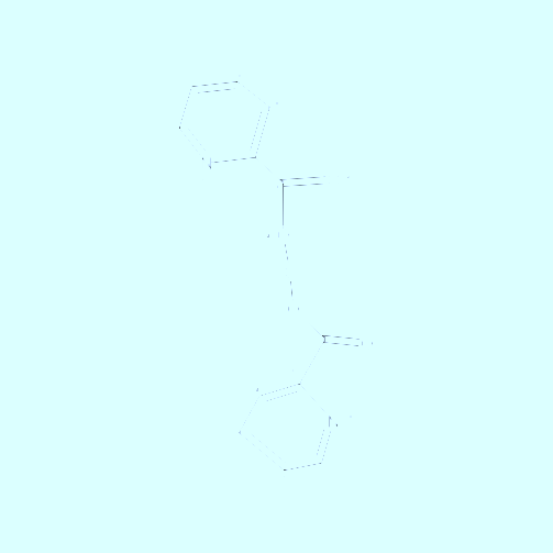 O=C(OCOC(=O)c1ccccn1)c1ccccn1